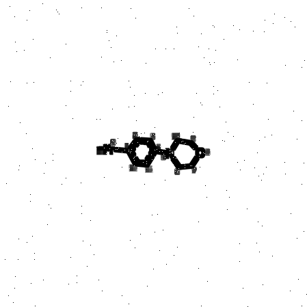 CCCc1ccc(N2CCOCC2)cc1